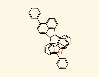 c1ccc(-c2ccc3c4c(cccc24)C24c5cccc6c(-c7ccccc7)ccc(c56)C32c2cccc3oc5cccc4c5c23)cc1